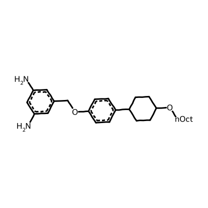 CCCCCCCCOC1CCC(c2ccc(OCc3cc(N)cc(N)c3)cc2)CC1